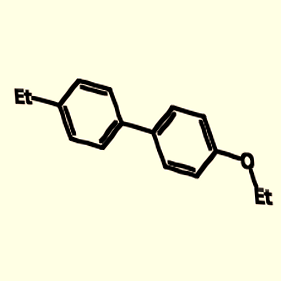 CCOc1ccc(-c2ccc(CC)cc2)cc1